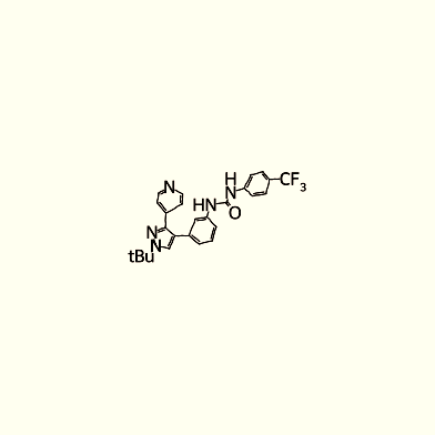 CC(C)(C)n1cc(-c2cccc(NC(=O)Nc3ccc(C(F)(F)F)cc3)c2)c(-c2ccncc2)n1